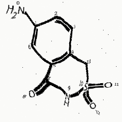 Nc1ccc2c(c1)C(=O)NS(=O)(=O)C2